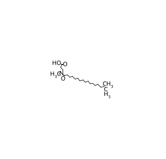 CC(C)CCCCCCCCCCCCCCC(=O)N(C)CCC(=O)O